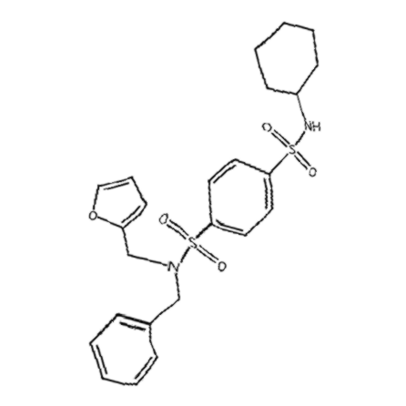 O=S(=O)(NC1CCCCC1)c1ccc(S(=O)(=O)N(Cc2ccccc2)Cc2ccco2)cc1